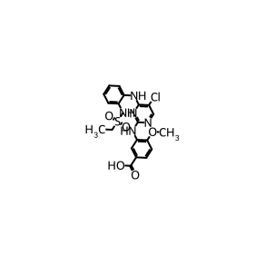 CCS(=O)(=O)Nc1ccccc1Nc1nc(Nc2cc(C(=O)O)ccc2OC)ncc1Cl